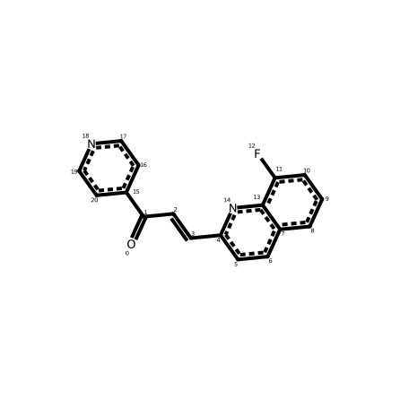 O=C(C=Cc1ccc2cccc(F)c2n1)c1ccncc1